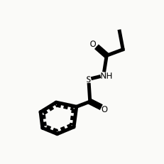 CCC(=O)NSC(=O)c1ccccc1